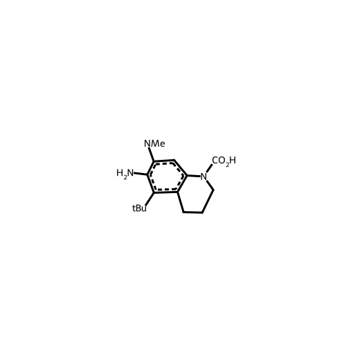 CNc1cc2c(c(C(C)(C)C)c1N)CCCN2C(=O)O